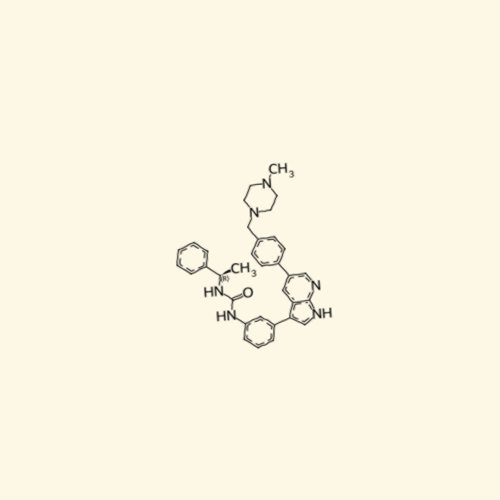 C[C@@H](NC(=O)Nc1cccc(-c2c[nH]c3ncc(-c4ccc(CN5CCN(C)CC5)cc4)cc23)c1)c1ccccc1